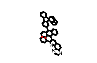 c1ccc(-c2nc3c(ccc4nccnc43)cc2-c2c3ccccc3c(-c3ccc4c(c3)C3(c5ccccc5-4)C4CC5CC(C4)CC3C5)c3ccccc23)cc1